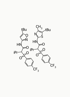 CC(C)C(C(=O)Nc1cc(C(C)(C)C)on1)S(=O)(=O)c1ccc(C(F)(F)F)cc1.Cc1nc(NC(=O)C(C(C)C)S(=O)(=O)c2ccc(C(F)(F)F)cc2)sc1C(C)(C)C